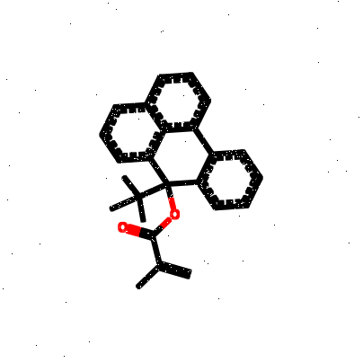 C=C(C)C(=O)OC1(C(C)(C)C)c2ccccc2-c2cccc3cccc1c23